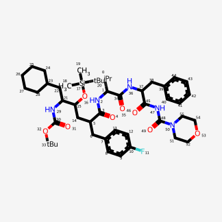 CC(C)C(NC(=O)C(Cc1ccc(F)cc1)CC(O[Si](C)(C)C(C)(C)C)C(CC1CCCCC1)NC(=O)OC(C)(C)C)C(=O)NC(Cc1ccccc1)C(=O)NC(=O)N1CCOCC1